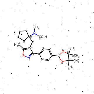 Cc1onc(-c2ccc(B3OC(C)(C)C(C)(C)O3)cc2)c1CC1(N(C)C(=O)O)CCCC1